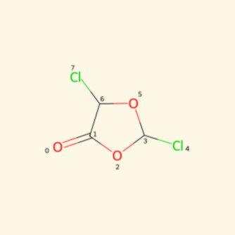 O=C1OC(Cl)OC1Cl